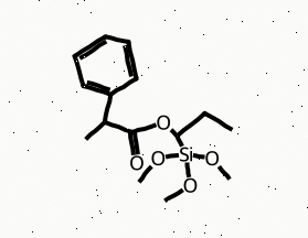 CCC(OC(=O)C(C)c1ccccc1)[Si](OC)(OC)OC